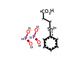 O=C(O)C[CH2][Sn+2][c]1ccccc1.O=P[O-].O=P[O-]